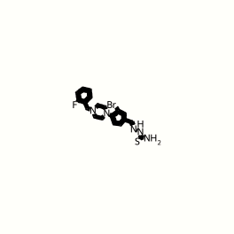 NC(=S)NN=Cc1ccc(N2CCN(Cc3ccccc3F)CC2)c(Br)c1